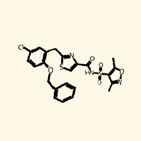 Cc1noc(C)c1S(=O)(=O)NC(=O)c1csc(Cc2cc(Cl)ccc2OCc2ccccc2)n1